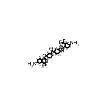 Nc1ccc(-c2nc3ccc(C(=O)c4ccc5nc(-c6ccc(N)cc6C(F)(F)F)oc5c4)cc3o2)c(C(F)(F)F)c1